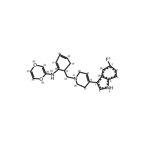 Fc1ccc2[nH]cc(C3=CCN(CC4CC=CC=C4NC4=COC=CO4)CC3)c2c1